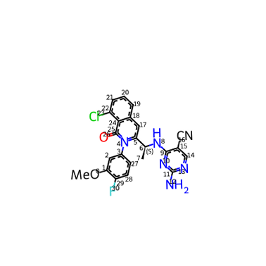 COc1cc(-n2c([C@H](C)Nc3nc(N)ncc3C#N)cc3cccc(Cl)c3c2=O)ccc1F